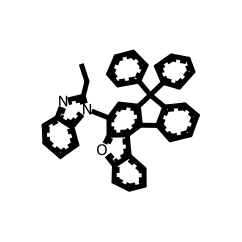 CCc1nc2ccccc2n1-c1cc2c(c3c1oc1ccccc13)-c1ccccc1C2(c1ccccc1)c1ccccc1